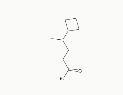 CCC(=O)CCC(C)C1CCC1